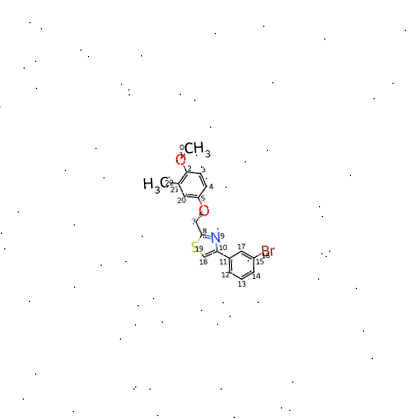 COc1ccc(OCc2nc(-c3cccc(Br)c3)cs2)cc1C